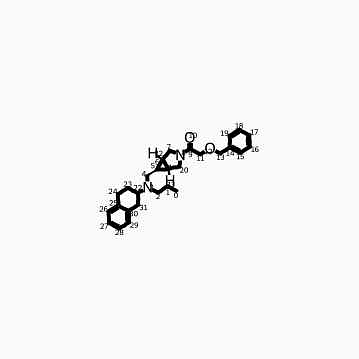 CCCN(C[C@H]1[C@@H]2CN(C(=O)COCc3ccccc3)C[C@@H]21)C1CCc2ccccc2C1